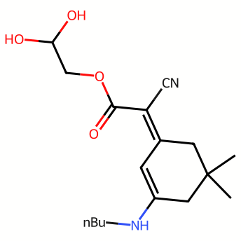 CCCCNC1=C/C(=C(/C#N)C(=O)OCC(O)O)CC(C)(C)C1